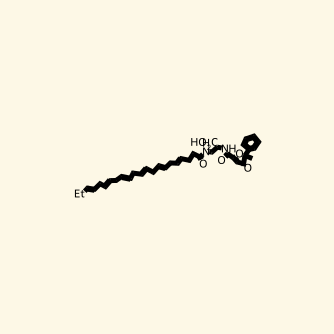 CCC=CCC=CCC=CCC=CCC=CCC=CCCC(=O)NCC(NC(=O)C1=CC(=O)C(C)(c2ccccc2)O1)C(=O)O